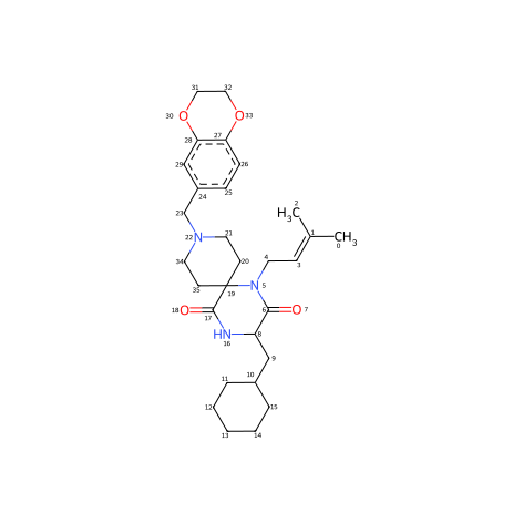 CC(C)=CCN1C(=O)C(CC2CCCCC2)NC(=O)C12CCN(Cc1ccc3c(c1)OCCO3)CC2